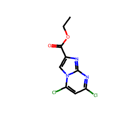 CCOC(=O)c1cn2c(Cl)cc(Cl)nc2n1